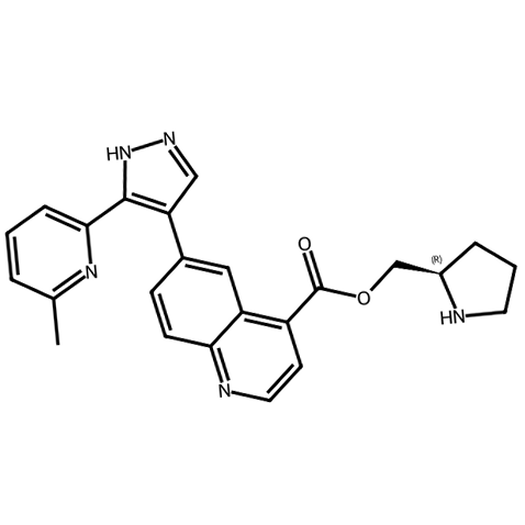 Cc1cccc(-c2[nH]ncc2-c2ccc3nccc(C(=O)OC[C@H]4CCCN4)c3c2)n1